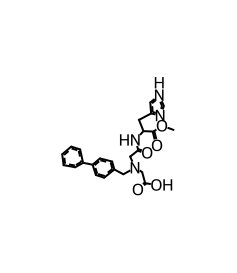 COC(=O)C(Cc1c[nH]cn1)NC(=O)CN(CC(=O)O)Cc1ccc(-c2ccccc2)cc1